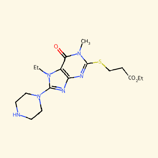 CCOC(=O)CCSc1nc2nc(N3CCNCC3)n(CC)c2c(=O)n1C